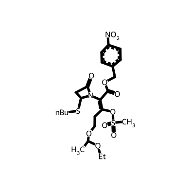 CCCCSC1CC(=O)N1C(C(=O)OCc1ccc([N+](=O)[O-])cc1)=C(CCOC(C)OCC)OS(C)(=O)=O